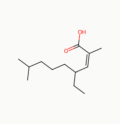 CC[C](C=C(C)C(=O)O)CCCC(C)C